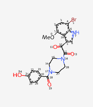 COc1ccc(Br)c2[nH]cc(C(=O)C(=O)N3CCN(C(=O)c4ccc(O)cc4)CC3)c12